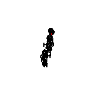 Cc1c(NC(=O)c2nc3c(n2C)CCN(C2C4CC5CC(C4)CC2C5)C3)cccc1-c1cccc(NC(=O)c2nc3c(n2C)CCN(C)C3)c1Cl